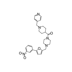 O=C(C1CCN(Cc2ccncc2)CC1)N1CCN(Cc2ccc(-c3cccc([N+](=O)[O-])c3)o2)CC1